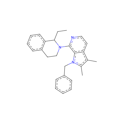 CCC1c2ccccc2CCN1c1nccc2c(C)c(C)n(Cc3ccccc3)c12